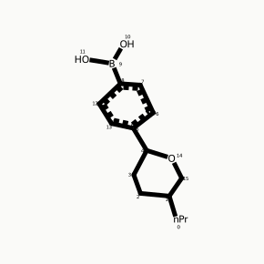 CCCC1CCC(c2ccc(B(O)O)cc2)OC1